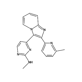 CNc1nccc(-c2c(-c3cccc(C)n3)nc3ccccn23)n1